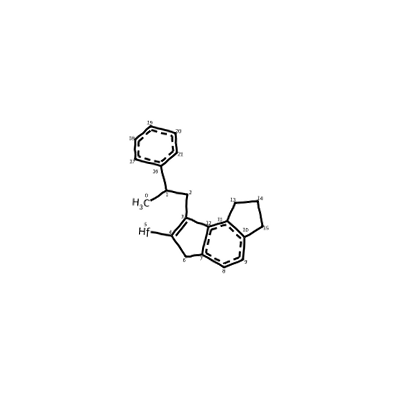 CC(CC1=[C]([Hf])Cc2ccc3c(c21)CCC3)c1ccccc1